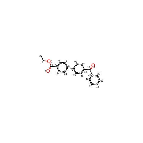 CCOC(=O)c1ccc(-c2ccc(C(=O)c3ccccc3)cc2)cc1